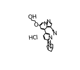 Cl.N#Cc1cnn2cc(OCCO)cc(-c3ccc(N4CC5CC(C4)N5)nc3)c12